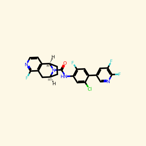 O=C(Nc1cc(Cl)c(-c2cnc(F)c(F)c2)cc1F)N1[C@H]2CC[C@@H]1c1ccnc(F)c1C2